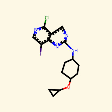 Clc1ncc(I)c2nc(NC3CCC(OC4CC4)CC3)ncc12